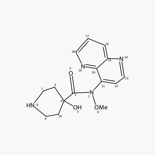 CON(C(=O)C1(O)CCNCC1)c1ccnc2cccnc12